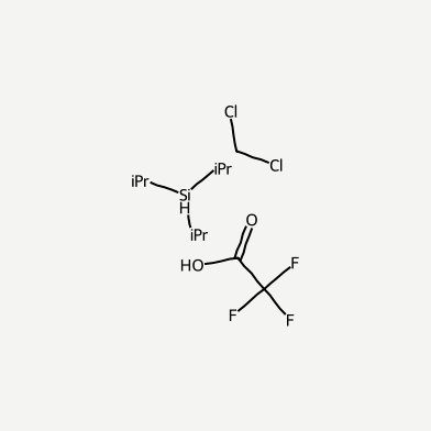 CC(C)[SiH](C(C)C)C(C)C.ClCCl.O=C(O)C(F)(F)F